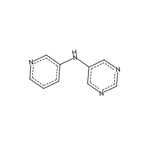 c1cncc(Nc2cncnc2)c1